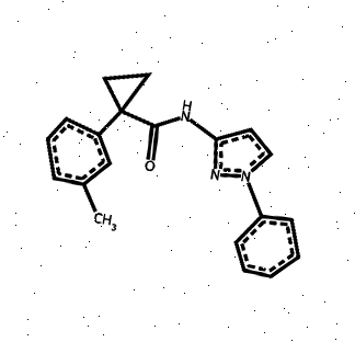 Cc1cccc(C2(C(=O)Nc3ccn(-c4ccccc4)n3)CC2)c1